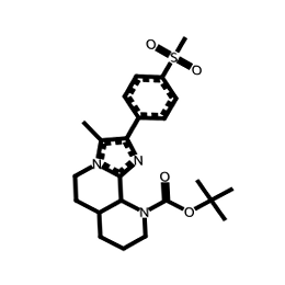 Cc1c(-c2ccc(S(C)(=O)=O)cc2)nc2n1CCC1CCCN(C(=O)OC(C)(C)C)C21